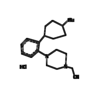 CC(C)(C)C1CCC(c2ccccc2N2CCN(CC#N)CC2)CC1.Cl